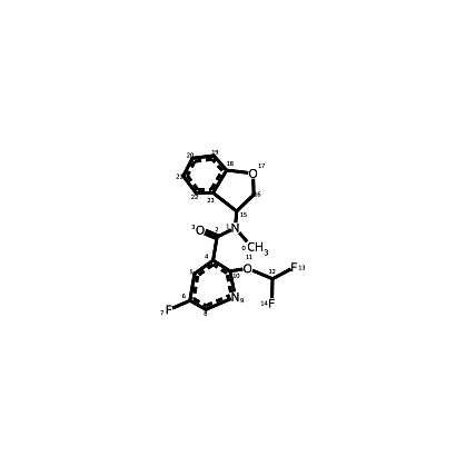 CN(C(=O)c1cc(F)cnc1OC(F)F)C1COc2ccccc21